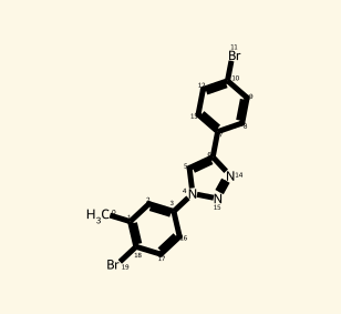 Cc1cc(-n2cc(-c3ccc(Br)cc3)nn2)ccc1Br